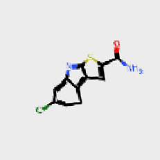 NC(=O)c1cc2c(s1)=NC1=CC(Cl)=CCC=21